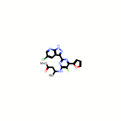 COC(=O)CC(Nc1nc(-c2n[nH]c3ncc(Cl)cc23)nc(-c2ccco2)c1F)C(C)(C)C